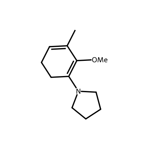 COC1=C(N2CCCC2)CCC=C1C